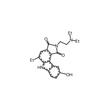 CCc1cc2c(c3c1[nH]c1ccc(O)cc13)C(=O)N(CCN(CC)CC)C2=O